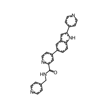 O=C(NCc1ccncc1)c1cc(-c2ccc3[nH]c(-c4ccncc4)cc3c2)ccn1